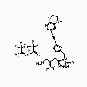 NCC(Cc1n[nH]c(=O)n1Cc1ccc(C#Cc2cnc3c(c2)NCCO3)s1)=C(F)F.O=C(O)C(F)(F)F.O=C(O)C(F)(F)F